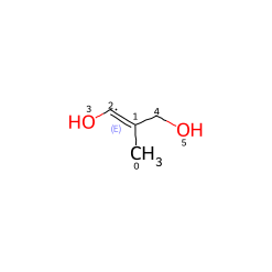 C/C(=[C]\O)CO